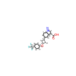 O=C(O)c1c[nH]c2ccc(C3CC(Oc4ccc(C(F)(F)F)cc4)C3)cc12